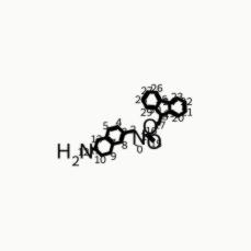 CN(Cc1ccc2c(c1)CCC(N)C2)C(=O)OCC1c2ccccc2-c2ccccc21